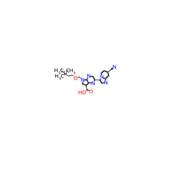 C[Si](C)(C)CCOCn1cc(C(=O)O)c2nc(-c3cnc4cc(C#N)ccn34)cnc21